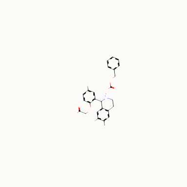 O=C(O)COc1ccc(Br)cc1C1c2cc(F)c(F)cc2CCN1OC(=O)OCc1ccccc1